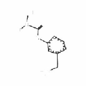 CN(I)C(=O)Nc1cccc(CN)c1